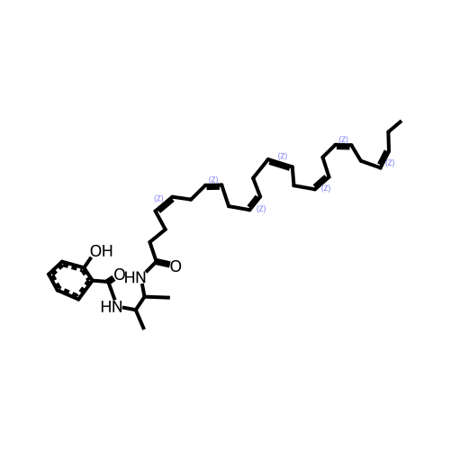 CC/C=C\C/C=C\C/C=C\C/C=C\C/C=C\C/C=C\C/C=C\CCC(=O)NC(C)C(C)NC(=O)c1ccccc1O